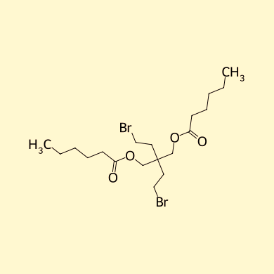 CCCCCC(=O)OCC(CCBr)(CCBr)COC(=O)CCCCC